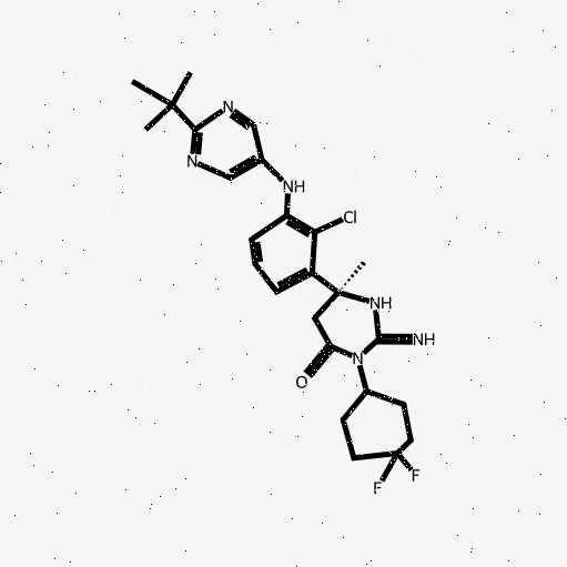 CC(C)(C)c1ncc(Nc2cccc([C@]3(C)CC(=O)N(C4CCC(F)(F)CC4)C(=N)N3)c2Cl)cn1